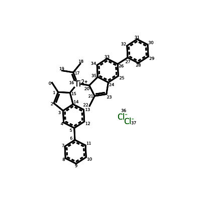 CC1=Cc2cc(-c3ccccc3)ccc2[CH]1[Ti+2](=[C](C)C)[CH]1C(C)=Cc2cc(-c3ccccc3)ccc21.[Cl-].[Cl-]